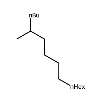 [CH2]CCCC(C)CCCCCCCCCC